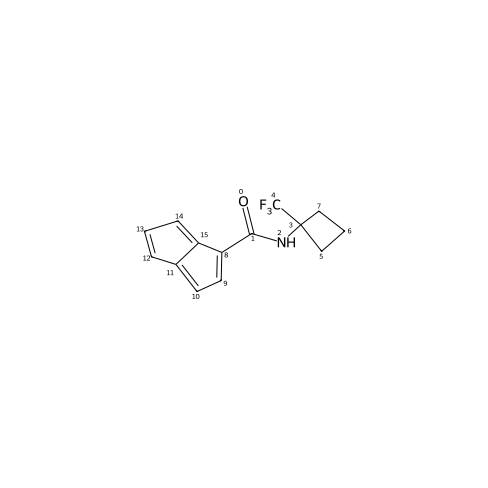 O=C(NC1(C(F)(F)F)CCC1)C1=CC=C2C=CC=C21